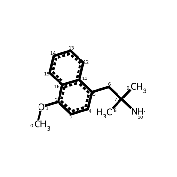 COc1ccc(CC(C)(C)[NH])c2ccccc12